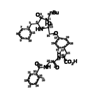 CCCCNC(=O)C(Cc1ccccc1)NC(=O)COc1ccc(C[C@H](NC(=O)CNC(=O)c2ccccc2C)C(=O)O)cc1